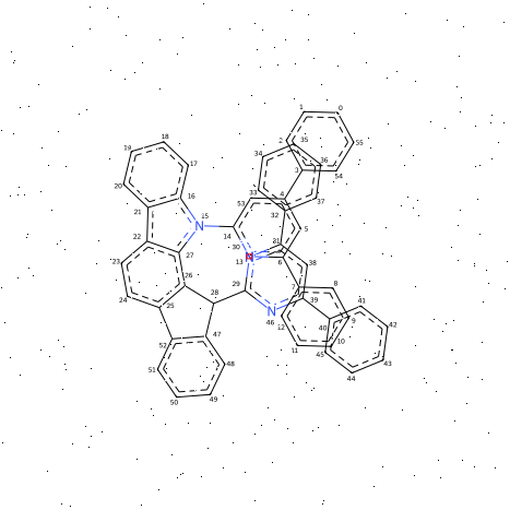 c1ccc(-c2cc(-c3ccccc3)nc(-n3c4ccccc4c4ccc5c(c43)C(c3nc(-c4ccccc4)cc(-c4ccccc4)n3)c3ccccc3-5)c2)cc1